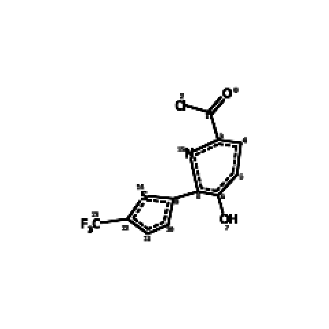 O=C(Cl)c1ccc(O)c(-c2ccc(C(F)(F)F)s2)n1